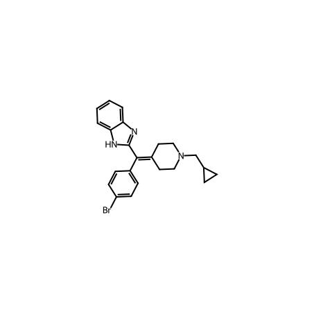 Brc1ccc(C(=C2CCN(CC3CC3)CC2)c2nc3ccccc3[nH]2)cc1